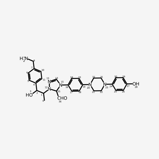 CC(C(O)c1ccc(CN)cc1)N1N=CN(c2ccc(N3CCN(c4ccc(O)cc4)CC3)cc2)C1C=O